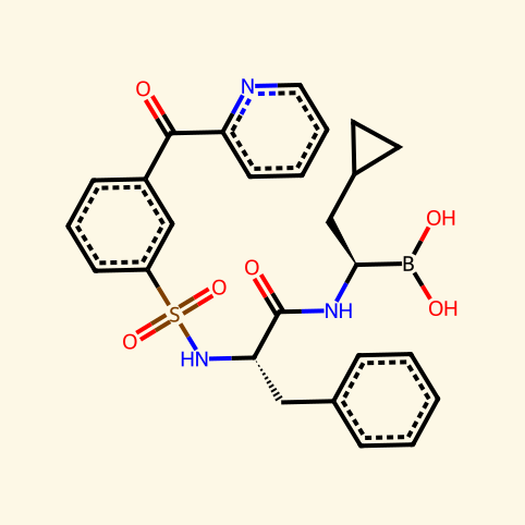 O=C(c1cccc(S(=O)(=O)N[C@@H](Cc2ccccc2)C(=O)N[C@@H](CC2CC2)B(O)O)c1)c1ccccn1